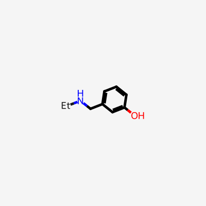 CCNCc1cccc(O)c1